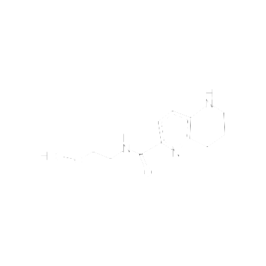 COCCNC(=O)c1ccc2c(n1)CCCN2